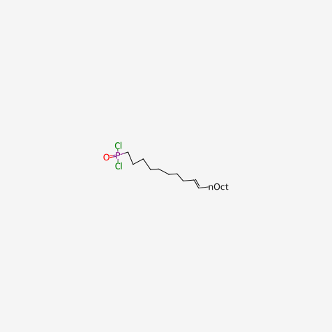 CCCCCCCCC=CCCCCCCCCP(=O)(Cl)Cl